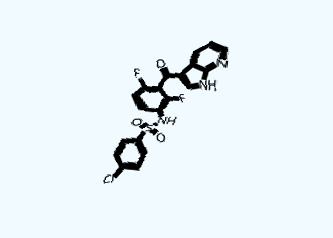 O=C(c1c(F)ccc(NS(=O)(=O)c2ccc(Cl)cc2)c1F)c1c[nH]c2ncccc12